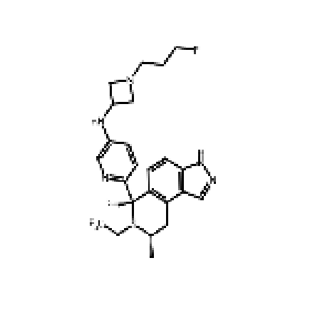 [2H][C@@]1(c2ccc(NC3CN(CCCF)C3)cn2)c2ccc3[nH]ncc3c2C[C@@H](C)N1CC(F)(F)F